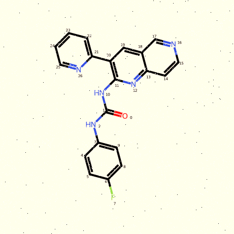 O=C(Nc1ccc(F)cc1)Nc1nc2ccncc2cc1-c1ccccn1